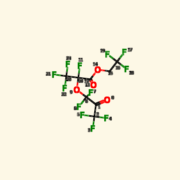 O=C(C(F)(F)F)C(F)(F)OC(F)(C(=O)OCC(F)(F)F)C(F)(F)F